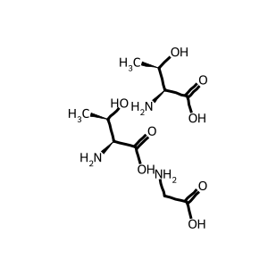 C[C@@H](O)[C@H](N)C(=O)O.C[C@@H](O)[C@H](N)C(=O)O.NCC(=O)O